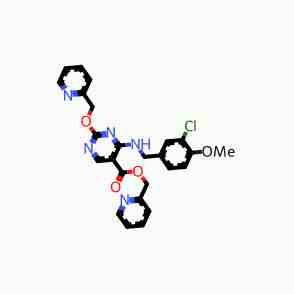 COc1ccc(CNc2nc(OCc3ccccn3)ncc2C(=O)OCc2ccccn2)cc1Cl